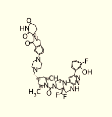 C[C@@H]1C[C@H](CN2CCN(c3ccc4c(c3)C(=O)N([C@H]3CCC(=O)NC3=O)C4)CC2)C[C@H](C)N1C(=O)N1CCN2c3cc(-c4cccc(F)c4O)nnc3NC[C@]2(C(F)F)C1